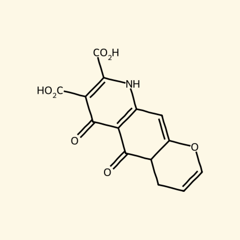 O=C(O)c1[nH]c2c(c(=O)c1C(=O)O)C(=O)C1CC=COC1=C2